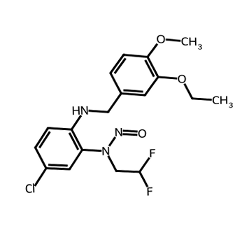 CCOc1cc(CNc2ccc(Cl)cc2N(CC(F)F)N=O)ccc1OC